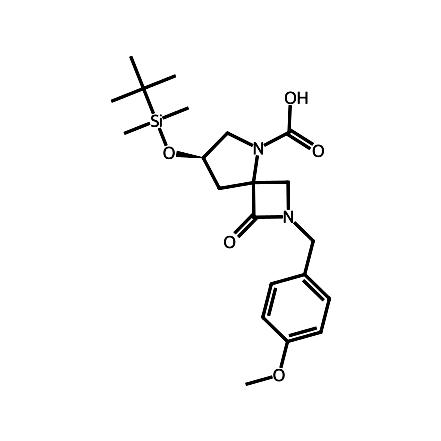 COc1ccc(CN2CC3(C[C@@H](O[Si](C)(C)C(C)(C)C)CN3C(=O)O)C2=O)cc1